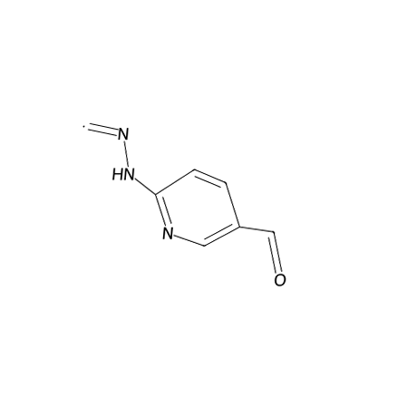 [CH]=NNc1ccc(C=O)cn1